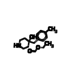 CCOC=O.Cc1ccc(CC2(O)CCNCC2)cc1